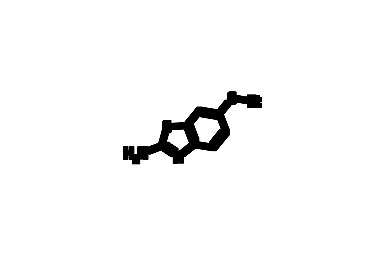 CCSc1ccc2nc(N)sc2c1